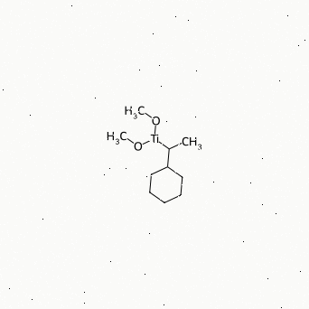 C[O][Ti]([O]C)[CH](C)C1CCCCC1